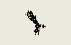 Cn1nc(C2CCC(=O)NC2=O)c2cccc(N3CCC(CN4CCN(c5cc(I)c(Cl)cn5)CC4CO)CC3)c21